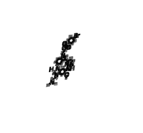 COc1cc(N(C)CCN(C)C)c(N)cc1Nc1nccc(-c2cn(CCOS(=O)(=O)c3ccc(Br)cc3)c3ccccc23)n1